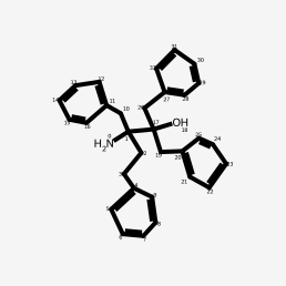 NC(CCc1ccccc1)(Cc1ccccc1)C(O)(Cc1ccccc1)Cc1ccccc1